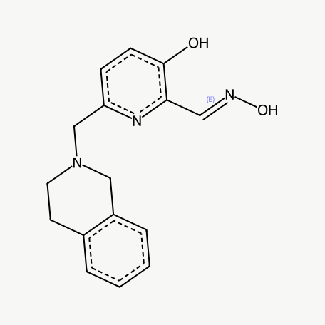 O/N=C/c1nc(CN2CCc3ccccc3C2)ccc1O